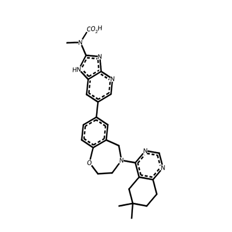 CN(C(=O)O)c1nc2ncc(-c3ccc4c(c3)CN(c3ncnc5c3CC(C)(C)CC5)CCO4)cc2[nH]1